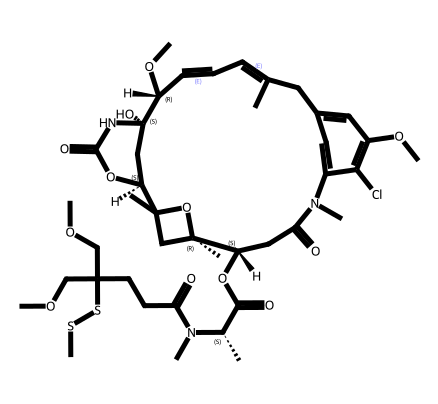 COCC(CCC(=O)N(C)[C@@H](C)C(=O)O[C@H]1CC(=O)N(C)c2cc(cc(OC)c2Cl)C/C(C)=C/C=C/[C@@H](OC)[C@@]2(O)C[C@H](OC(=O)N2)C2(C)C[C@@]1(C)O2)(COC)SSC